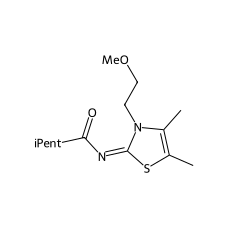 CCCC(C)C(=O)N=c1sc(C)c(C)n1CCOC